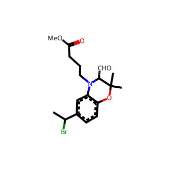 COC(=O)CCCN1c2cc(C(C)Br)ccc2OC(C)(C)C1C=O